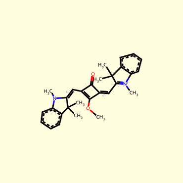 COC1=C(/C=C2/N(C)c3ccccc3C2(C)C)C(=O)/C1=C\C1=[N+](C)c2ccccc2C1(C)C